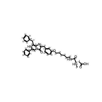 CN[C@@H](CC(=O)O)C(=O)NCCCCCCOc1cccc(Cc2nc3c(Cc4ccccc4)[nH]c(-c4ccccc4)cn-3c2=O)c1